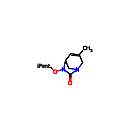 CCCC(C)ON1C(=O)N2CC(C)=CC1C2